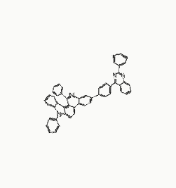 c1ccc(-c2nc(-c3ccc(-c4ccc5c(c4)nc(-c4ccccc4)c4c5ccc5c4c4ccccc4n5-c4ccccc4)cc3)c3ccccc3n2)cc1